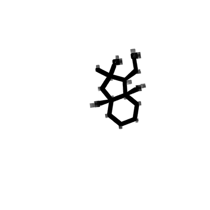 CC1(O)C[C@H]2CCCC[C@H]2[C@@H]1CO